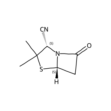 CC1(C)S[C@H]2CC(=O)N2[C@H]1C#N